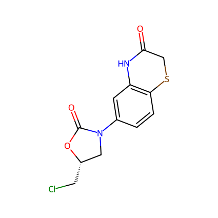 O=C1CSc2ccc(N3C[C@H](CCl)OC3=O)cc2N1